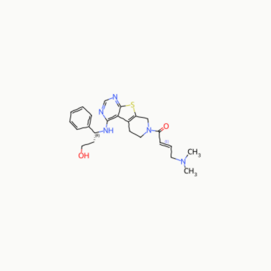 CN(C)C/C=C/C(=O)N1CCc2c(sc3ncnc(N[C@H](CCO)c4ccccc4)c23)C1